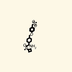 CN(C(=O)[C@@H](N)C1CCC(COc2ccc(CS(C)(=O)=O)cc2)CC1)C1CCC1